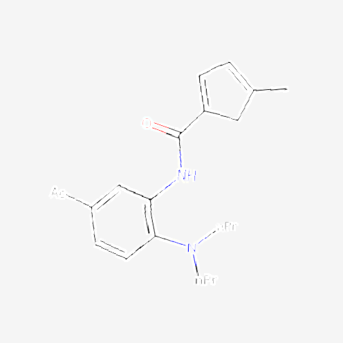 CCCN(CCC)c1ccc(C(C)=O)cc1NC(=O)C1=CC=C(C)C1